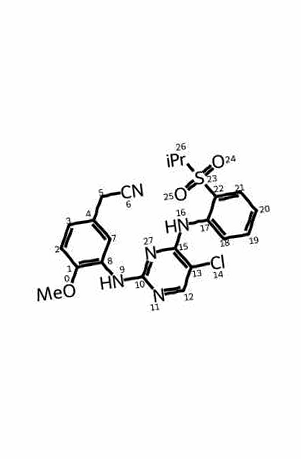 COc1ccc(CC#N)cc1Nc1ncc(Cl)c(Nc2ccccc2S(=O)(=O)C(C)C)n1